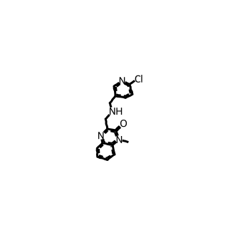 Cn1c(=O)c(CNCc2ccc(Cl)nc2)nc2ccccc21